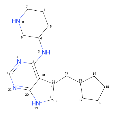 c1nc(NC2CCCNC2)c2c(CC3CCCC3)c[nH]c2n1